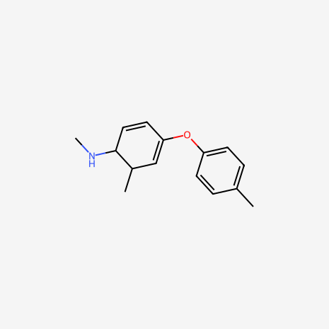 CNC1C=CC(Oc2ccc(C)cc2)=CC1C